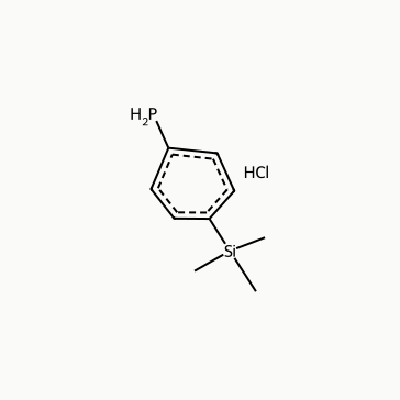 C[Si](C)(C)c1ccc(P)cc1.Cl